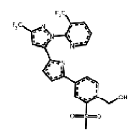 CS(=O)(=O)c1cc(-c2ccc(-c3cc(C(F)(F)F)nn3-c3ncccc3C(F)(F)F)s2)ccc1CO